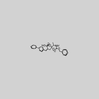 CC(NC(=O)OCc1ccccc1)P(=O)(O)CC(Cc1ccc(-c2ccccc2)cc1)C(=O)O